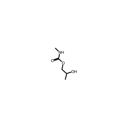 CNC(=O)OCC(C)O